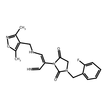 Cc1noc(C)c1CN/C=C(\C=N)N1C(=O)CN(Cc2ccccc2F)C1=O